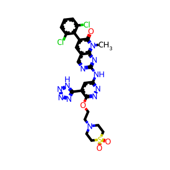 Cn1c(=O)c(-c2c(Cl)cccc2Cl)cc2cnc(Nc3cc(-c4nnn[nH]4)c(OCCN4CCS(=O)(=O)CC4)nn3)nc21